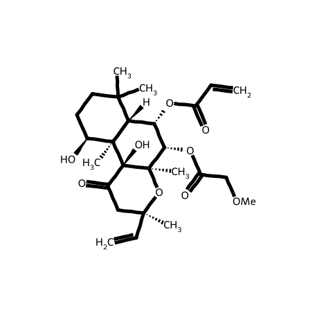 C=CC(=O)O[C@H]1[C@H]2C(C)(C)CC[C@H](O)[C@]2(C)[C@@]2(O)C(=O)C[C@](C)(C=C)O[C@]2(C)[C@H]1OC(=O)COC